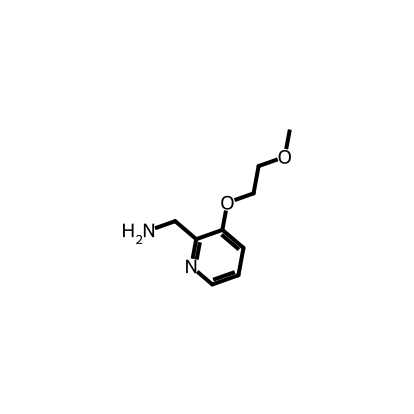 COCCOc1cccnc1CN